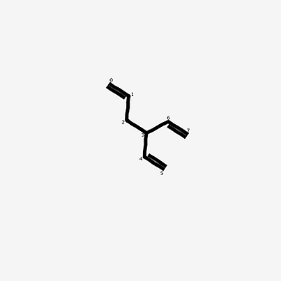 C=C[CH]C(C=C)C=C